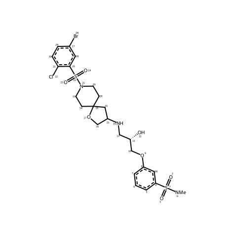 CNS(=O)(=O)c1cccc(OC[C@@H](O)CNC2COC3(CCN(S(=O)(=O)c4cc(Br)ccc4Cl)CC3)C2)c1